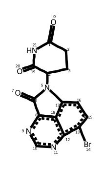 O=C1CCC(N2C(=O)c3ncnc4c(Br)ccc2c34)C(=O)N1